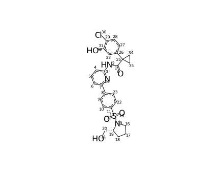 O=C(Nc1cccc(-c2ccc(S(=O)(=O)N3CCC[C@@H]3CO)cc2)n1)C1(c2ccc(Cl)c(O)c2)CC1